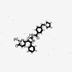 CC(C)n1nc(-c2sc(NC(=O)c3ccc(CN4CCCC4)cc3)nc2-c2ccccc2)ccc1=O